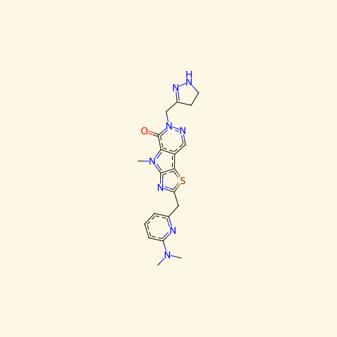 CN(C)c1cccc(Cc2nc3c(s2)c2cnn(CC4=NNCC4)c(=O)c2n3C)n1